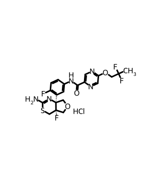 CC(F)(F)COc1cnc(C(=O)Nc2ccc(F)c([C@]34COC[C@@]3(F)CSC(N)=N4)c2)cn1.Cl